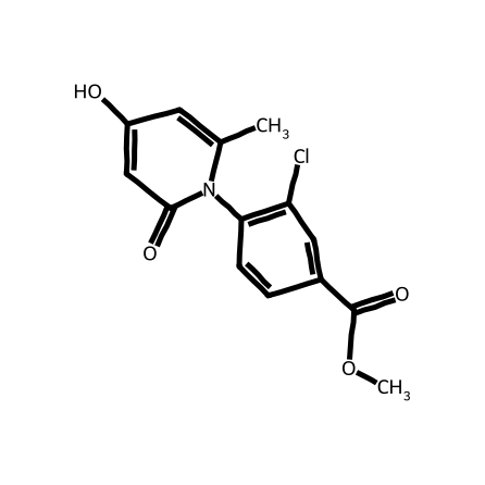 COC(=O)c1ccc(-n2c(C)cc(O)cc2=O)c(Cl)c1